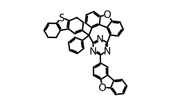 C1=Cc2sc3c(c2CC1)C=C(C1(c2ccccc2)c2nc(-c4ccc5oc6ccccc6c5c4)nc(n2)-c2cccc4oc5cccc1c5c24)CC3